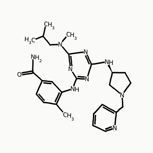 Cc1ccc(C(N)=O)cc1Nc1nc(N[C@H]2CCN(Cc3ccccn3)C2)nc(N(C)CC(C)C)n1